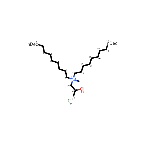 CCCCCCCCCCCCCCCCCC[N+](C)(CCCCCCCCCCCCCCCCCC)CC(C)O.[Cl-]